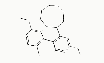 COc1ccc(F)c(-c2ccc(CCl)cc2C2CCCCCCC2)c1